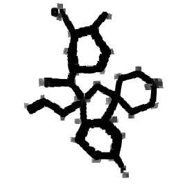 C=CC[N+]1(C(=O)c2ccc(C)c([N+](=O)[O-])c2)CC2(CCNCC2)c2cc(F)ccc21